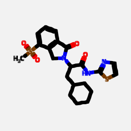 CS(=O)(=O)c1cccc2c1CN(C(CC1CCCCC1)C(=O)Nc1nccs1)C2=O